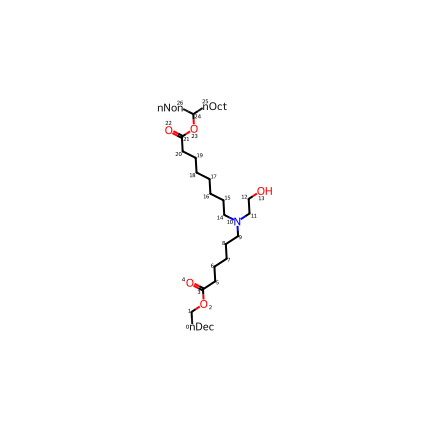 CCCCCCCCCCCOC(=O)CCCCCN(CCO)CCCCCCCC(=O)OC(CCCCCCCC)CCCCCCCCC